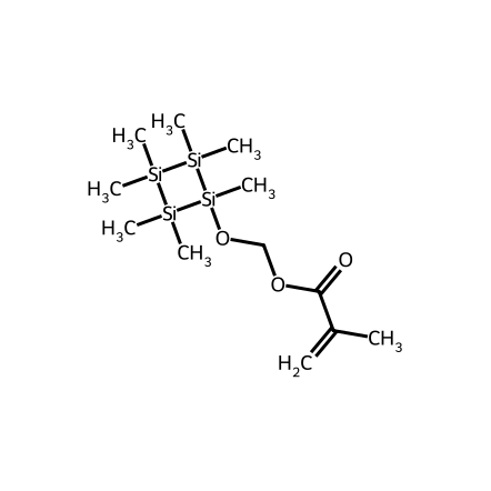 C=C(C)C(=O)OCO[Si]1(C)[Si](C)(C)[Si](C)(C)[Si]1(C)C